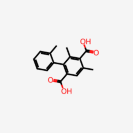 Cc1ccccc1-c1c(C(=O)O)cc(C)c(C(=O)O)c1C